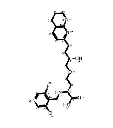 O=C(O)[C@H](CCOC[C@@H](O)CCc1ccc2c(n1)NCCC2)NCc1c(F)cncc1Cl